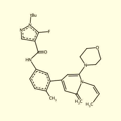 C=C1C=C(c2cc(NC(=O)c3cnn(C(C)(C)C)c3F)ccc2C)C=C(N2CCOCC2)N1/C=C\C